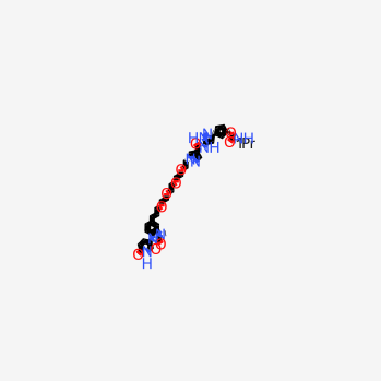 CC(C)NC(=O)O[C@@H]1CC[C@H](c2cc(NC(=O)c3cnn(CCOCCOCCOCCOCCCc4ccc5c(c4)n(C)c(=O)n5C4CCC(=O)NC4=O)c3)[nH]n2)C1